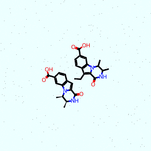 CCc1c2n(c3cc(C(=O)O)ccc13)C(C)C(C)NC2=O.C[C@@H]1NC(=O)c2cc3ccc(C(=O)O)cc3n2[C@@H]1C